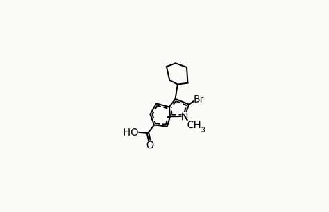 Cn1c(Br)c(C2CCCCC2)c2ccc(C(=O)O)cc21